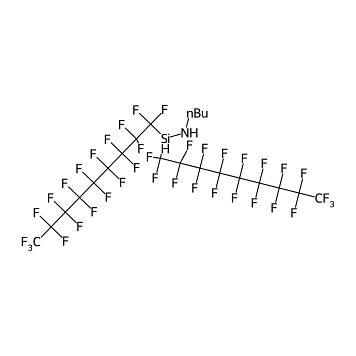 CCCCN[SiH](C(F)(F)C(F)(F)C(F)(F)C(F)(F)C(F)(F)C(F)(F)C(F)(F)C(F)(F)C(F)(F)F)C(F)(F)C(F)(F)C(F)(F)C(F)(F)C(F)(F)C(F)(F)C(F)(F)C(F)(F)C(F)(F)F